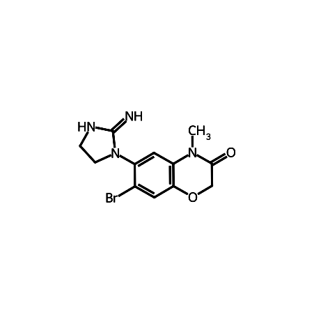 CN1C(=O)COc2cc(Br)c(N3CCNC3=N)cc21